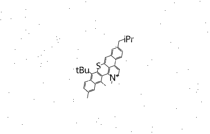 Cc1ccc2c(C(C)(C)C)c3c(c(C)c2c1)-c1c2c(cc4cc(CC(C)C)ccc4c2cc[n+]1C)S3